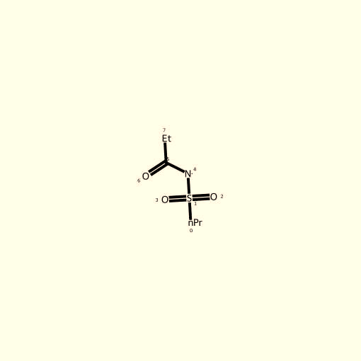 CCCS(=O)(=O)[N]C(=O)CC